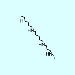 CCNCCCN/C=C/CCCNCCCNCC